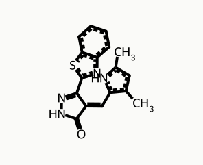 Cc1cc(C)c(/C=C2/C(=O)NN=C2c2nc3ccccc3s2)[nH]1